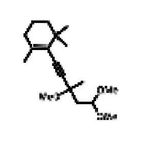 COC(CC(C)(C#CC1=C(C)CCCC1(C)C)OC)OC